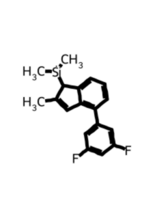 CC1=Cc2c(-c3cc(F)cc(F)c3)cccc2C1[Si](C)C